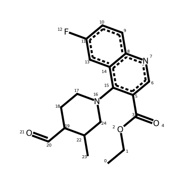 CCOC(=O)c1cnc2ccc(F)cc2c1N1CCC(C=O)C(C)C1